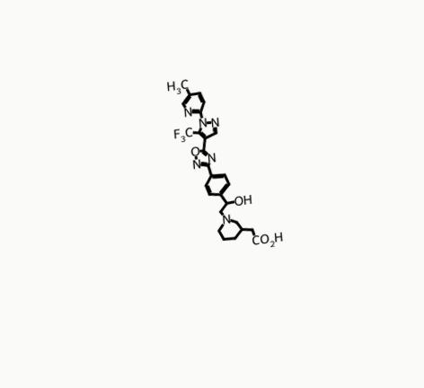 Cc1ccc(-n2ncc(-c3nc(-c4ccc(C(O)CN5CCCC(CC(=O)O)C5)cc4)no3)c2C(F)(F)F)nc1